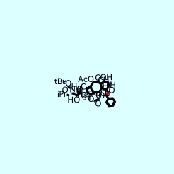 CC(=O)O[C@H]1C(=O)[C@@]2(C)[C@H]([C@H](OC(=O)c3ccccc3)[C@]34OC5OC5O[C@H]3[C@H](OC(=O)[C@H](O)[C@H](CC(C)C)NC(=O)OC(C)(C)C)C(C)=C1C4(C)C)[C@]1(OC(C)=O)CO[C@@H]1C[C@@H]2O